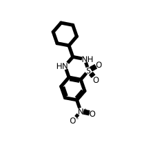 O=[N+]([O-])c1ccc2c(c1)S(=O)(=O)NC(C1CCCCC1)N2